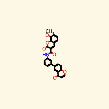 COc1cccc2cc(C(=O)Nc3cccc(-c4ccc5occc(=O)c5c4)c3)c(=O)oc12